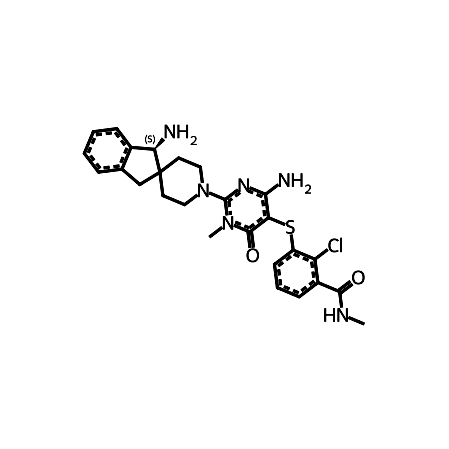 CNC(=O)c1cccc(Sc2c(N)nc(N3CCC4(CC3)Cc3ccccc3[C@H]4N)n(C)c2=O)c1Cl